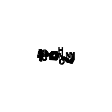 CC1(C)OB(c2ccc(NC(=O)c3cccnn3)cc2)OC1(C)C